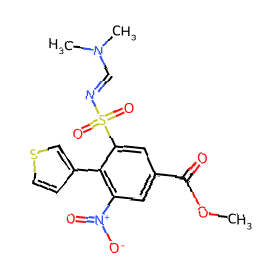 COC(=O)c1cc([N+](=O)[O-])c(-c2ccsc2)c(S(=O)(=O)N=CN(C)C)c1